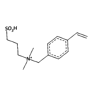 C=Cc1ccc(C[N+](C)(C)CCCS(=O)(=O)O)cc1